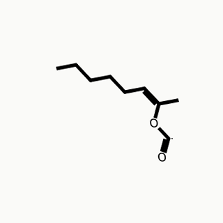 CCCCCC=C(C)O[C]=O